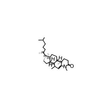 CC(C)CCC[C@@H](C)[C@H]1CC[C@H]2[C@@H]3C(C)C=C4N(C)C(=O)CC[C@]4(C)[C@H]3CC[C@]12C